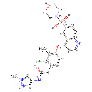 Cc1c(Oc2ccnc3ccc(S(=O)(=O)N4CCOCC4)cc23)ccc(CC(=O)Nc2cnn(C(C)(C)C)c2)c1F